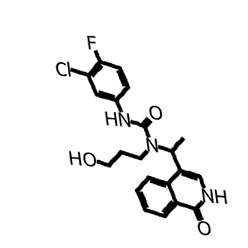 CC(c1c[nH]c(=O)c2ccccc12)N(CCCO)C(=O)Nc1ccc(F)c(Cl)c1